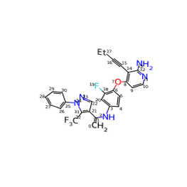 C=C(Nc1ccc(Oc2ccnc(N)c2C#CCC)c(F)c1)c1cnn(-c2ccccc2)c1C(F)(F)F